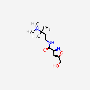 CN(C)C(C)(C)CCNC(=O)c1cc(CO)on1